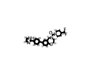 O=C(N1CCC(C(F)F)CC1)N1CCOc2ccc(-c3ccc(-c4ncc[nH]4)cc3)cc2C1